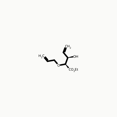 C=CCO[C@H](C(=O)OCC)[C@H](O)C=C